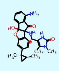 Cc1c(C(=O)NC23C(=O)c4c(N)cccc4C2(O)Oc2cc([C@]4(C)C[C@@H]4C)ccc23)[nH]c(=O)n1C